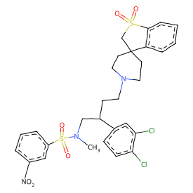 CN(CC(CCN1CCC2(CC1)CS(=O)(=O)c1ccccc12)c1ccc(Cl)c(Cl)c1)S(=O)(=O)c1cccc([N+](=O)[O-])c1